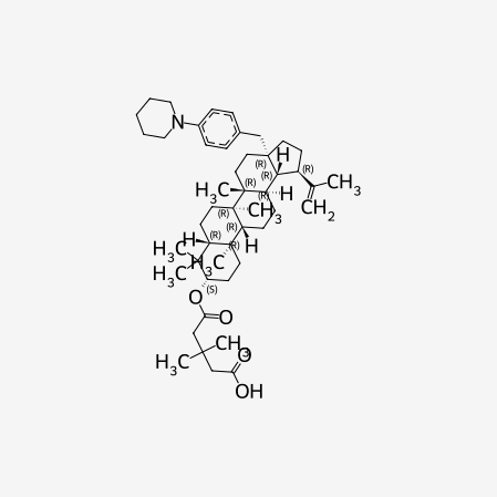 C=C(C)[C@@H]1CC[C@]2(Cc3ccc(N4CCCCC4)cc3)CC[C@]3(C)[C@H](CC[C@@H]4[C@@]5(C)CC[C@H](OC(=O)CC(C)(C)CC(=O)O)C(C)(C)[C@@H]5CC[C@]43C)[C@@H]12